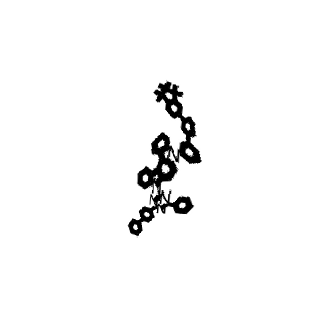 CC1(C)c2ccc(-c3cccc(-c4cccc(-n5c6ccccc6c6c7c8ccccc8n(-c8nc(-c9ccccc9)nc(-c9ccc(-c%10ccccc%10)cc9)n8)c7ccc65)c4)c3)cc2C(C)(C)C1(C)C